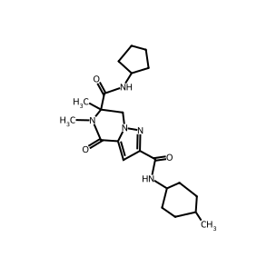 CC1CCC(NC(=O)c2cc3n(n2)CC(C)(C(=O)NC2CCCC2)N(C)C3=O)CC1